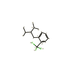 CC(C)C(Cc1ccccc1C(F)(F)F)C(C)C